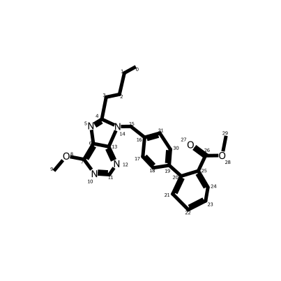 CCCCc1nc2c(OC)ncnc2n1Cc1ccc(-c2ccccc2C(=O)OC)cc1